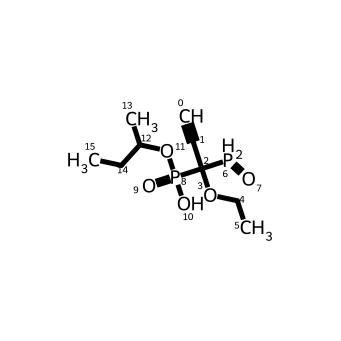 C#CC(OCC)([PH2]=O)P(=O)(O)OC(C)CC